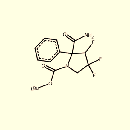 CC(C)(C)OC(=O)N1CC(F)(F)C(F)C1(C(N)=O)c1ccccc1